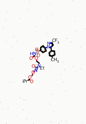 CCN(CCOC(=O)NS(=O)(=O)c1ccc(-n2nc(C(F)(F)F)cc2-c2ccc(C)cc2)cc1)[N+]([O-])=NOCOC(=O)C(C)C